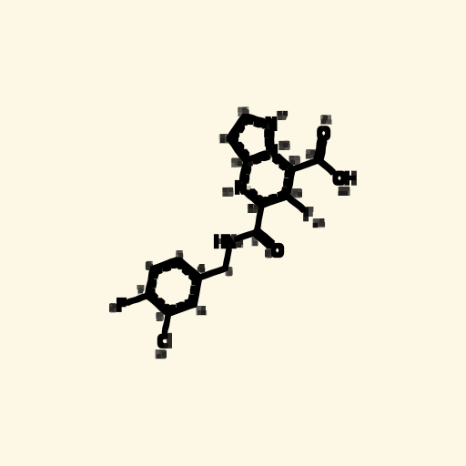 O=C(NCc1ccc(F)c(Cl)c1)c1nc2ccnn2c(C(=O)O)c1F